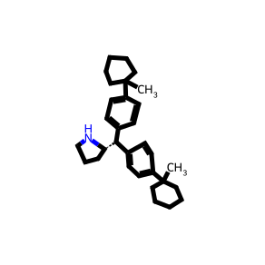 CC1(c2ccc(C(c3ccc(C4(C)CCCCC4)cc3)[C@@H]3CCCN3)cc2)CCCCC1